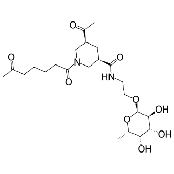 CC(=O)CCCCC(=O)N1C[C@@H](C(C)=O)C[C@@H](C(=O)NCCO[C@@H]2O[C@@H](C)[C@@H](O)[C@@H](O)[C@@H]2O)C1